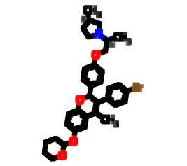 CC1=C(c2ccc(Br)cc2)C(c2ccc(OC[C@H](C)N3CC[C@@H](C)C3)cc2)Oc2ccc(OC3CCCCO3)cc21